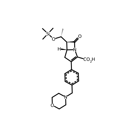 C[C@@H](O[Si](C)(C)C)[C@H]1C(=O)N2C(C(=O)O)=C(c3ccc(CN4CCOCC4)cc3)C[C@H]12